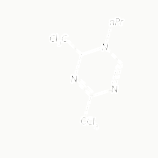 CCCN1C=NC(C(Cl)(Cl)Cl)=NC1C(Cl)(Cl)Cl